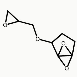 C1OC1COC1CCC23OC12O3